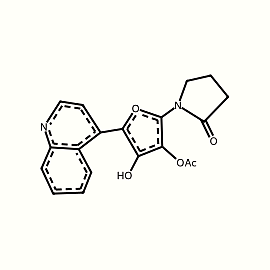 CC(=O)Oc1c(N2CCCC2=O)oc(-c2ccnc3ccccc23)c1O